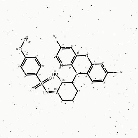 O=S(=O)(N[C@@H]1CCCC(N2c3ccc(F)cc3Oc3cc(F)cnc32)[C@H]1O)c1ccc(OC(F)(F)F)cc1